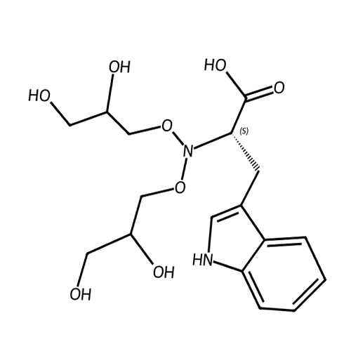 O=C(O)[C@H](Cc1c[nH]c2ccccc12)N(OCC(O)CO)OCC(O)CO